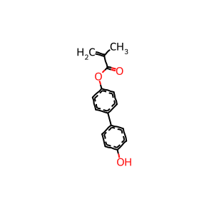 C=C(C)C(=O)Oc1ccc(-c2ccc(O)cc2)cc1